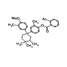 COc1ccc(C2(c3ccc(OC(=O)c4ccccc4C(C)=O)c(C)c3)CCC(C)(C)C(C)C2)cc1C